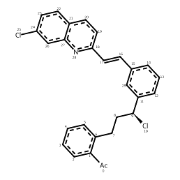 CC(=O)c1ccccc1CC[C@H](Cl)c1cccc(/C=C/c2ccc3ccc(Cl)cc3n2)c1